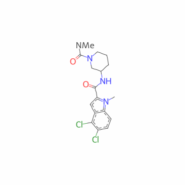 CNC(=O)N1CCCC(NC(=O)c2cc3c(Cl)c(Cl)ccc3n2C)C1